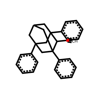 C#CC1C2(c3ccccc3)CC3CC(c4ccccc4)(C2)CC1(c1ccccc1)C3